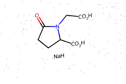 O=C(O)CN1C(=O)CCC1C(=O)O.[NaH]